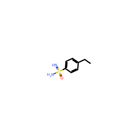 CCc1ccc(S(=N)(N)=O)cc1